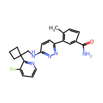 Cc1ccc(C(N)=O)cc1-c1ccc(NCC2(c3ncccc3F)CCC2)nn1